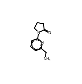 NCc1cccc(N2CCCC2=O)n1